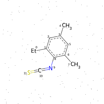 CCc1cc(C)cc(C)c1N=C=S